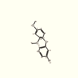 COc1ccc(Oc2cncc(Br)c2)c(OC)c1